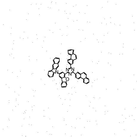 c1ccc2cc3c(cc2c1)c1ccccc1n3-c1cc(-c2nc(-c3ccc4c(ccc5ccccc54)c3)nc(-c3ccc4c(ccc5ccccc54)c3)n2)c2oc3ccccc3c2c1